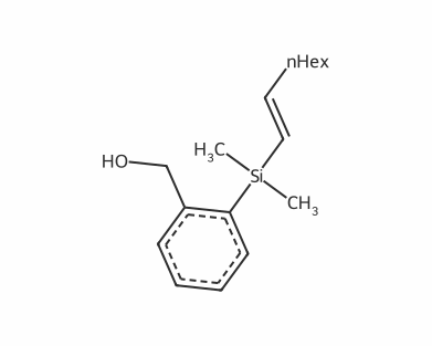 CCCCCC/C=C/[Si](C)(C)c1ccccc1CO